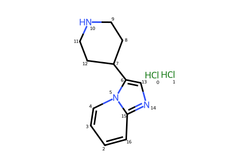 Cl.Cl.c1ccn2c(C3CCNCC3)cnc2c1